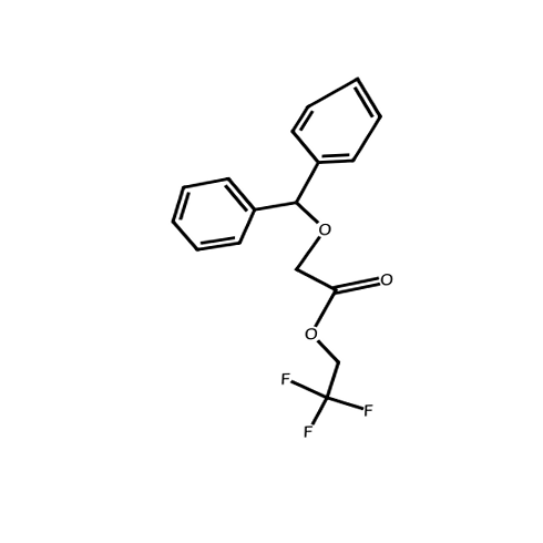 O=C(COC(c1ccccc1)c1ccccc1)OCC(F)(F)F